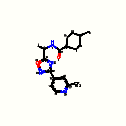 CC1CCC(C(=O)NC(C)c2nc(-c3ccnc(C(F)(F)F)c3)no2)CC1